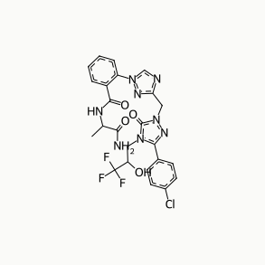 CC(NC(=O)c1ccccc1-n1cnc(Cn2nc(-c3ccc(Cl)cc3)n(CC(O)C(F)(F)F)c2=O)n1)C(N)=O